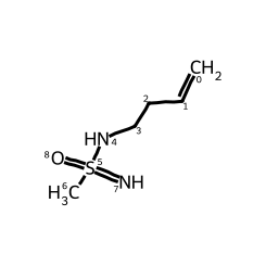 C=CCCNS(C)(=N)=O